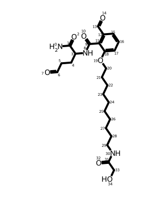 NC(=O)C(CCC=O)NC(=O)c1c(C=O)cccc1OCCCCCCCCCCNC(=O)CO